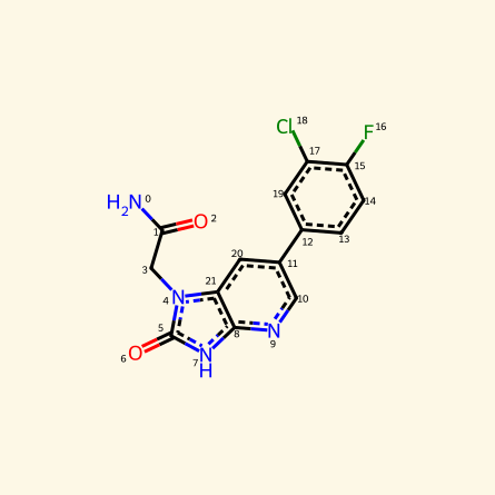 NC(=O)Cn1c(=O)[nH]c2ncc(-c3ccc(F)c(Cl)c3)cc21